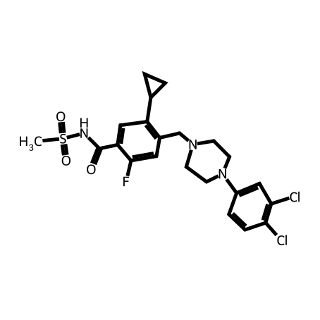 CS(=O)(=O)NC(=O)c1cc(C2CC2)c(CN2CCN(c3ccc(Cl)c(Cl)c3)CC2)cc1F